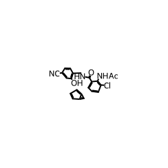 CC(=O)Nc1c(Cl)cccc1C(=O)NCc1ccc(C#N)cc1O.c1cc2cc-2c1